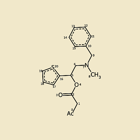 CC(=O)CC(=O)OC(CN(C)Cc1ccccc1)c1cccs1